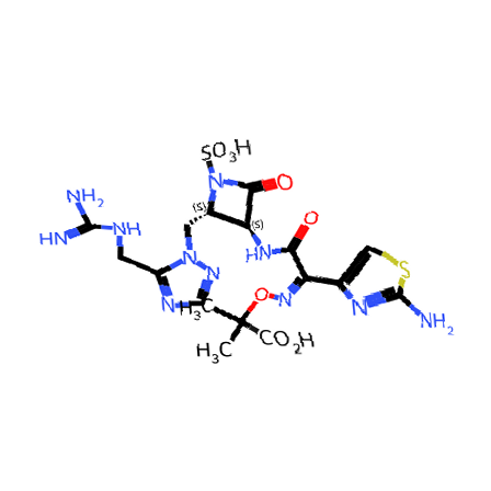 CC(C)(ON=C(C(=O)N[C@@H]1C(=O)N(S(=O)(=O)O)[C@H]1Cn1ncnc1CNC(=N)N)c1csc(N)n1)C(=O)O